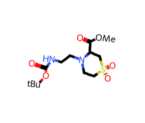 COC(=O)C1CS(=O)(=O)CCN1CCNC(=O)OC(C)(C)C